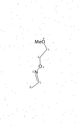 [CH2]C=NOCCOC